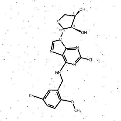 COc1ccc(Cl)cc1CNc1nc(Cl)nc2c1ncn2[C@@H]1SC[C@@H](O)[C@H]1O